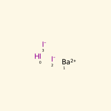 I.[Ba+2].[I-].[I-]